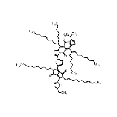 CCCCCCCCCCN1C(=O)C2=C(c3ccc(-c4ccc5c(C(CCCCCC)CCCCCCCC)c6c(=O)n7c(C(C)C)ccc7c(C(CCCCCC)CCCCCCCC)c6c(=O)n45)o3)N(CCCCCCCCCC)C(=O)C2=C1c1ccc(CC)o1